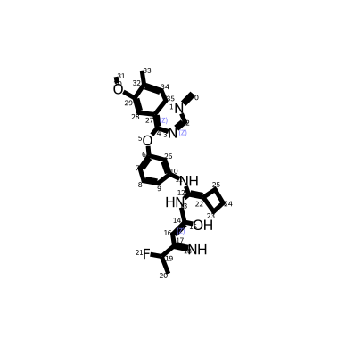 C=N/C=N\C(Oc1cccc(NC(N/C(O)=C/C(=N)C(C)F)=C2CCC2)c1)=C1\C=C(OC)C(C)=CC1